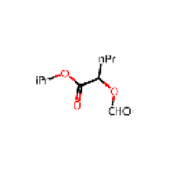 CCCC(O[C]=O)C(=O)OC(C)C